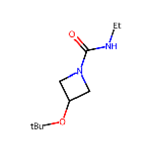 CCNC(=O)N1CC(OC(C)(C)C)C1